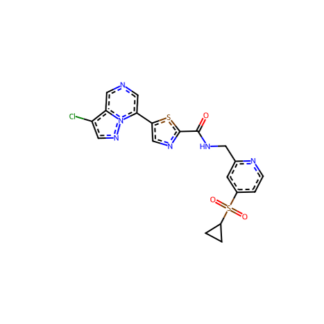 O=C(NCc1cc(S(=O)(=O)C2CC2)ccn1)c1ncc(-c2cncc3c(Cl)cnn23)s1